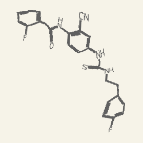 N#Cc1cc(NC(=S)NCCc2ccc(F)cc2)ccc1NC(=O)c1ccccc1F